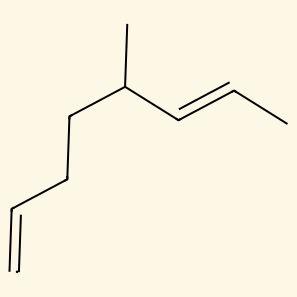 [CH]=CCCC(C)C=CC